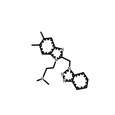 Cc1cc2nc(Cn3nnc4ccccc43)n(CCN(C)C)c2cc1C